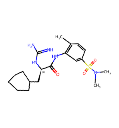 Cc1ccc(S(=O)(=O)N(C)C)cc1NC(=O)[C@@H](CC1CCCCC1)NC(=N)N